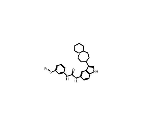 CC(C)Sc1cccc(NC(=O)Nc2ccc3[nH]cc(C4CCC5CCCCN5CC4)c3c2)c1